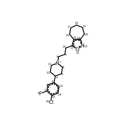 Fc1cc(C2CCN(CCCc3onc4c3CCCCC4)CC2)ccc1Cl